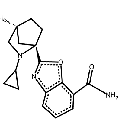 NC(=O)c1cccc2nc([C@@]34CC[C@H](CN3C3CC3)C4)oc12